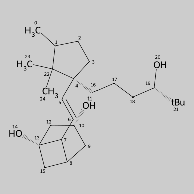 CC1CC[C@](/C=C/C2C3C[C@@H](O)C[C@]2(O)C3)(CCC[C@H](O)C(C)(C)C)C1(C)C